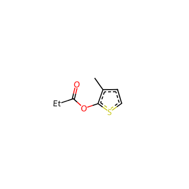 CCC(=O)Oc1sccc1C